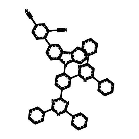 N#Cc1ccc(-c2ccc3c(c2)c2ccccc2n3-c2ccc(-c3nc(-c4ccccc4)nc(-c4ccccc4)n3)cc2-c2nc(-c3ccccc3)cc(-c3ccccc3)n2)c(C#N)c1